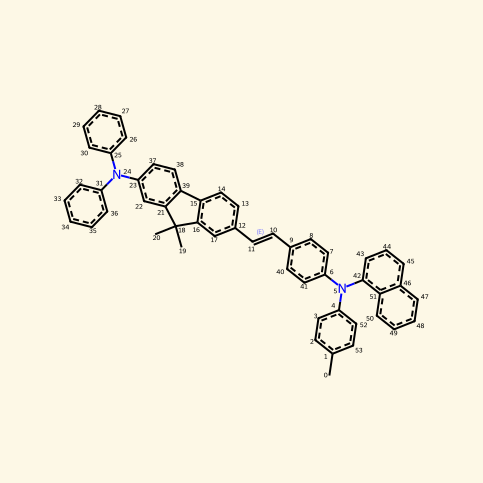 Cc1ccc(N(c2ccc(/C=C/c3ccc4c(c3)C(C)(C)c3cc(N(c5ccccc5)c5ccccc5)ccc3-4)cc2)c2cccc3ccccc23)cc1